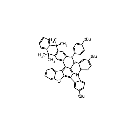 CC(C)(C)c1ccc(N2B3c4cc(C(C)(C)C)ccc4-n4c5ccc(C(C)(C)C)cc5c5c6oc7ccccc7c6c(c3c54)-c3cc4c(cc32)C(C)(C)c2ccccc2C4(C)C)cc1